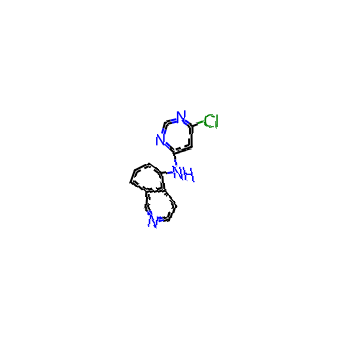 Clc1cc(Nc2cccc3cnccc23)ncn1